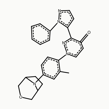 Cc1cc(N2C3CCC2COC3)ccc1-n1ccc(=O)c(-c2ccnn2-c2ccccc2)n1